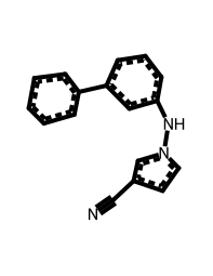 N#Cc1ccn(Nc2cccc(-c3ccccc3)c2)c1